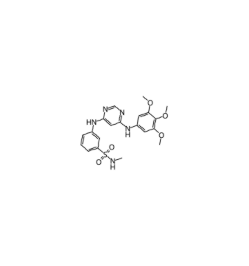 CNS(=O)(=O)c1cccc(Nc2cc(Nc3cc(OC)c(OC)c(OC)c3)ncn2)c1